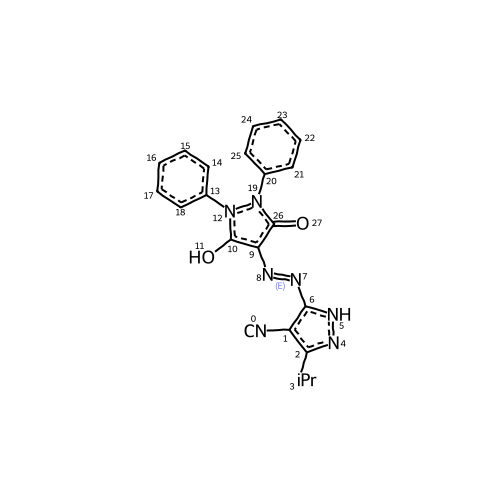 [C-]#[N+]c1c(C(C)C)n[nH]c1/N=N/c1c(O)n(-c2ccccc2)n(-c2ccccc2)c1=O